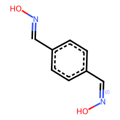 ON=Cc1ccc(/C=N\O)cc1